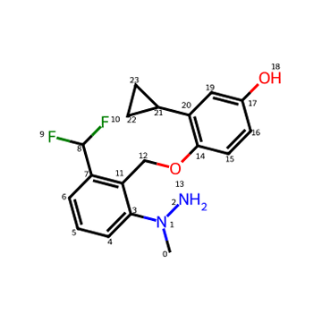 CN(N)c1cccc(C(F)F)c1COc1ccc(O)cc1C1CC1